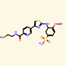 COCCNC(=O)c1ccc(-c2csc(NC3CC(S(N)(=O)=O)=CC=C3OC(C)C)n2)cn1